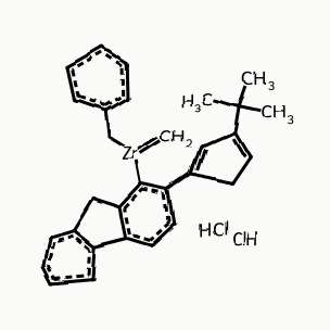 Cl.Cl.[CH2]=[Zr]([CH2]c1ccccc1)[c]1c(C2=CC(C(C)(C)C)=CC2)ccc2c1Cc1ccccc1-2